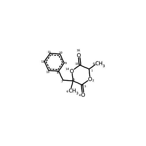 CC1OC(=O)C(C)(Cc2ccccc2)OC1=O